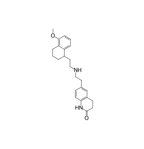 COc1cccc2c1CCCC2CCNCCc1ccc2c(c1)CCC(=O)N2